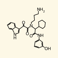 NCCCCN(C(=O)C(=O)c1c[nH]c2ccccc12)C(C(=O)Nc1cccc(O)c1)C1CCCCC1